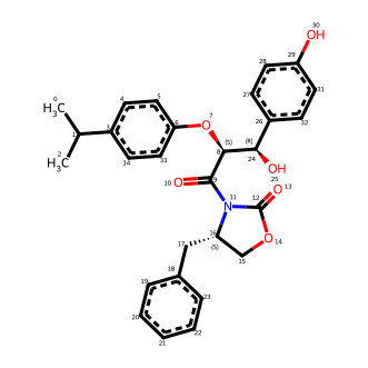 CC(C)c1ccc(O[C@H](C(=O)N2C(=O)OC[C@@H]2Cc2ccccc2)[C@H](O)c2ccc(O)cc2)cc1